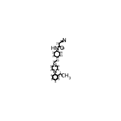 CCc1ccccc1N1CCN(CC[C@H]2CC[C@H](NC(=O)CC#N)CC2)CC1